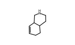 C1=CC2CNCCC2CC1